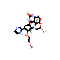 COCCOc1c(-c2cnccn2)cc2c(c1F)N1C[C@H](C)O[C@@H]3CC=C4NC(=O)NC(=O)C4(C2)[C@H]31